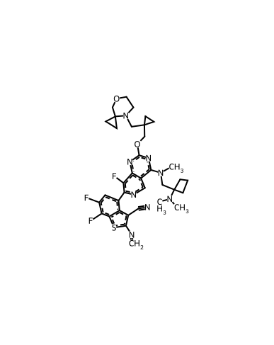 C=Nc1sc2c(F)c(F)cc(-c3ncc4c(N(C)CC5(N(C)C)CCC5)nc(OCC5(CN6CCOCC67CC7)CC5)nc4c3F)c2c1C#N